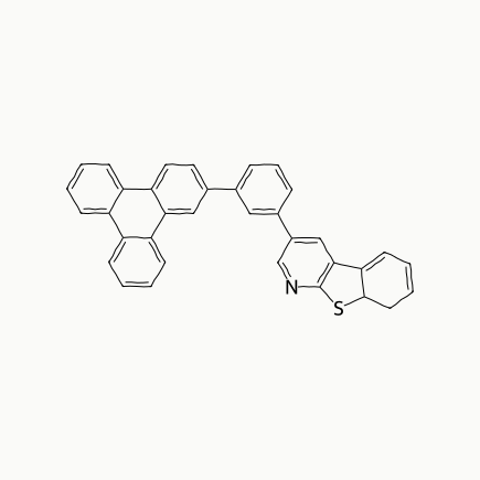 C1=CCC2Sc3ncc(-c4cccc(-c5ccc6c7ccccc7c7ccccc7c6c5)c4)cc3C2=C1